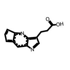 O=C(O)CCC1=c2nc3c(cc2N=C1)=CC=C3